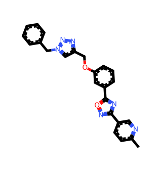 Cc1ccc(-c2noc(-c3cccc(OCc4cn(Cc5ccccc5)nn4)c3)n2)cn1